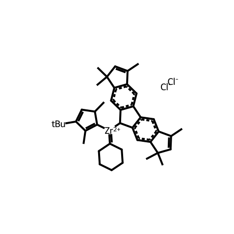 CC1=CC(C)(C)c2cc3c(cc21)-c1cc2c(cc1[CH]3[Zr+2]([C]1=C(C)C(C(C)(C)C)=CC1C)=[C]1CCCCC1)C(C)(C)C=C2C.[Cl-].[Cl-]